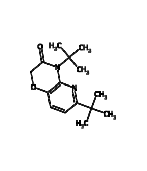 CC(C)(C)c1ccc2c(n1)N(C(C)(C)C)C(=O)CO2